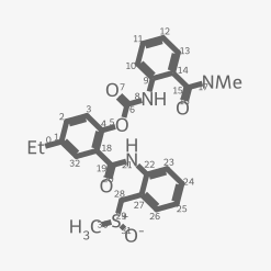 CCc1ccc(OC(=O)Nc2ccccc2C(=O)NC)c(C(=O)Nc2ccccc2C[S+](C)[O-])c1